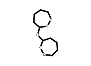 C1CCC(OC2CCCCOS2)SOC1